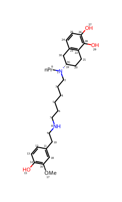 CCCN(CCCCCCNCCc1ccc(O)c(OC)c1)[C@H]1CCc2c(ccc(O)c2O)C1